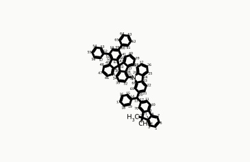 CC1(C)c2ccccc2-c2ccc(C(c3ccccc3)c3ccc4c5ccccc5n(-c5cccc6c5-c5ccccc5C65c6ccccc6-c6c(-c7ccccc7)cc(-c7ccccc7)cc65)c4c3)cc21